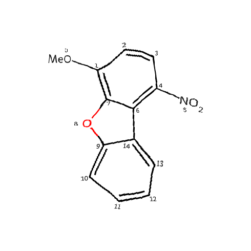 COc1ccc([N+](=O)[O-])c2c1oc1ccccc12